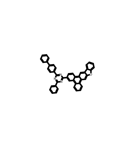 c1ccc(-c2ccc(-c3nc(-c4ccccc4)nc(-c4ccc5c(c4)c4ccccc4c4cc6oc7ccccc7c6cc54)n3)cc2)cc1